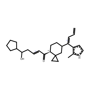 C=C/C=C(\c1cc[nH]c1C)C1CC[C@H](C(=O)/C=C/CC(O)C2CCCC2)C2(CC2)C1